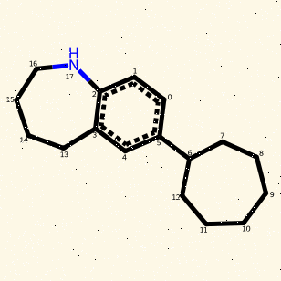 c1cc2c(cc1C1CCCCCC1)CCCCN2